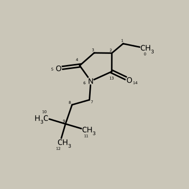 CCC1CC(=O)N(CCC(C)(C)C)C1=O